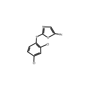 CC(=O)c1cnc(Sc2ccc(Cl)cc2Cl)s1